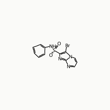 O=S(=O)(Nc1ccccc1)c1nc2ncccn2c1Br